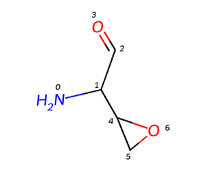 NC(C=O)C1CO1